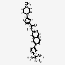 BC(B)(B)n1cc(-c2ccc3cnc(NC(=O)c4coc(C5CCN(C)CC5)c4)cc3c2)cn1